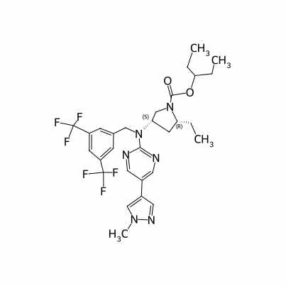 CCC(CC)OC(=O)N1C[C@@H](N(Cc2cc(C(F)(F)F)cc(C(F)(F)F)c2)c2ncc(-c3cnn(C)c3)cn2)C[C@H]1CC